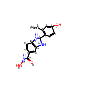 COc1cc(O)ccc1C1Nc2ccc(C(=O)NO)cc2N1